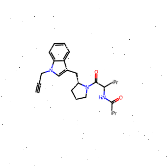 C#CCn1cc(C[C@@H]2CCCN2C(=O)C(NC(=O)C(C)C)C(C)C)c2ccccc21